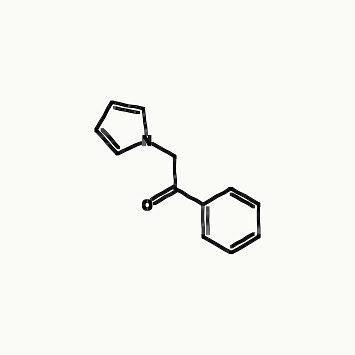 O=C(Cn1cccc1)c1ccccc1